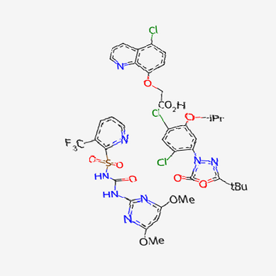 CC(C)Oc1cc(-n2nc(C(C)(C)C)oc2=O)c(Cl)cc1Cl.COc1cc(OC)nc(NC(=O)NS(=O)(=O)c2ncccc2C(F)(F)F)n1.O=C(O)COc1ccc(Cl)c2cccnc12